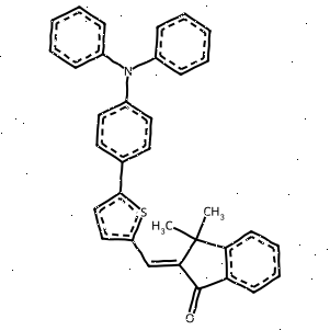 CC1(C)/C(=C\c2ccc(-c3ccc(N(c4ccccc4)c4ccccc4)cc3)s2)C(=O)c2ccccc21